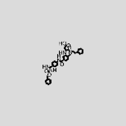 N=C(NC(=O)OCc1ccccc1)c1ccc(NC(=O)c2ccc3c(c2)NC(CC(=O)O)C(=O)N(CCc2ccccc2)C3)cc1